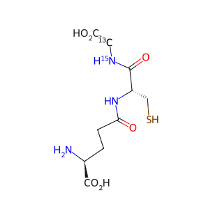 N[C@@H](CCC(=O)N[C@@H](CS)C(=O)[15NH][13CH2][13C](=O)O)C(=O)O